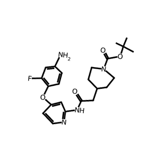 CC(C)(C)OC(=O)N1CCC(CC(=O)Nc2cc(Oc3ccc(N)cc3F)ccn2)CC1